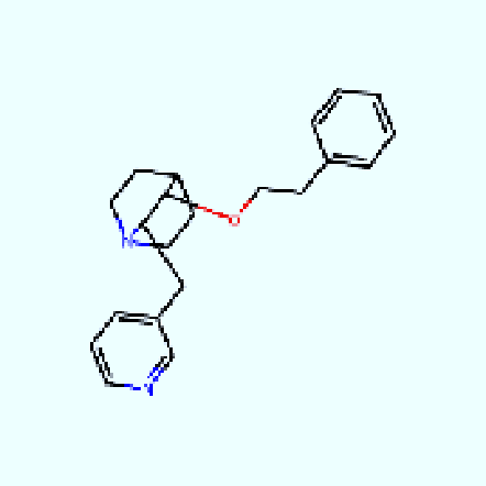 c1ccc(CCOC2C3CCN(CC3)C2Cc2cccnc2)cc1